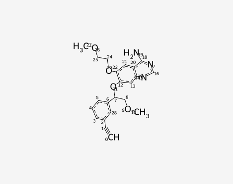 C#Cc1cccc(C(COC)Oc2cc3ncnc(N)c3cc2OCCOC)c1